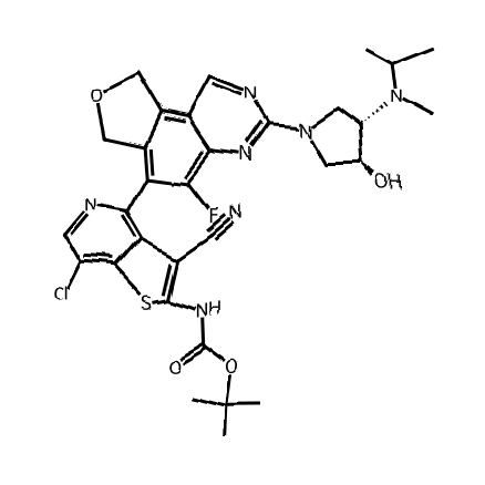 CC(C)N(C)[C@H]1CN(c2ncc3c4c(c(-c5ncc(Cl)c6sc(NC(=O)OC(C)(C)C)c(C#N)c56)c(F)c3n2)COC4)C[C@@H]1O